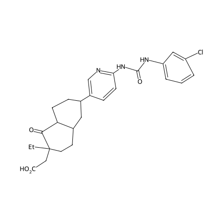 CCC1(CC(=O)O)CCC2CC(c3ccc(NC(=O)Nc4cccc(Cl)c4)nc3)CCC2C1=O